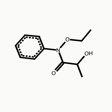 CCON(C(=O)C(C)O)c1ccccc1